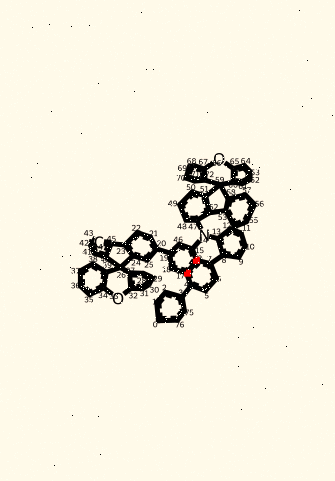 c1ccc(-c2ccc(-c3ccccc3N(c3cccc(-c4ccc5c(c4)C4(c6ccccc6Oc6ccccc64)c4ccccc4-5)c3)c3cccc4c3-c3ccccc3C43c4ccccc4Oc4ccccc43)cc2)cc1